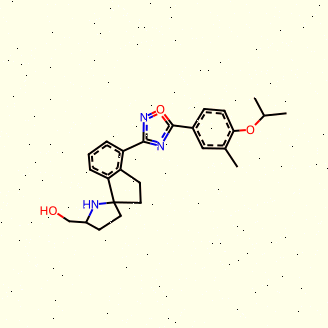 Cc1cc(-c2nc(-c3cccc4c3CCC43CCC(CO)N3)no2)ccc1OC(C)C